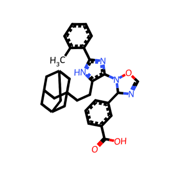 Cc1ccccc1-c1nc(N2OC=NC2c2cccc(C(=O)O)c2)c(CCC23CC4CC(CC(C4)C2)C3)[nH]1